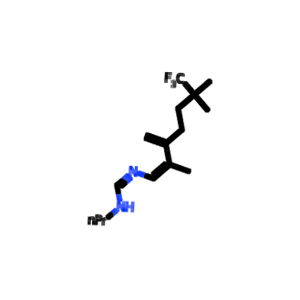 C=C(CCC(C)(C)C(F)(F)F)/C(C)=C\N=C/NCCC